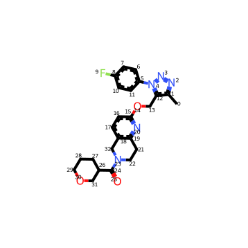 Cc1nnn(-c2ccc(F)cc2)c1COc1ccc2c(n1)CCN(C(=O)C1CCCOC1)C2